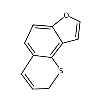 C1=Cc2ccc3occc3c2SC1